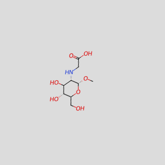 CO[C@@H]1OC(CO)[C@H](O)C(O)[C@@H]1NCC(=O)O